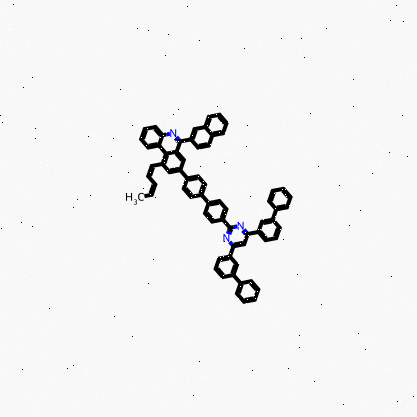 C/C=C\C=C/c1cc(-c2ccc(-c3ccc(-c4nc(-c5cccc(-c6ccccc6)c5)cc(-c5cccc(-c6ccccc6)c5)n4)cc3)cc2)cc2c(-c3ccc4ccccc4c3)nc3ccccc3c12